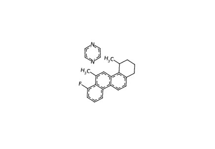 Cc1cc2c3c(ccc2c2cccc(F)c12)CCCC3C.c1cnccn1